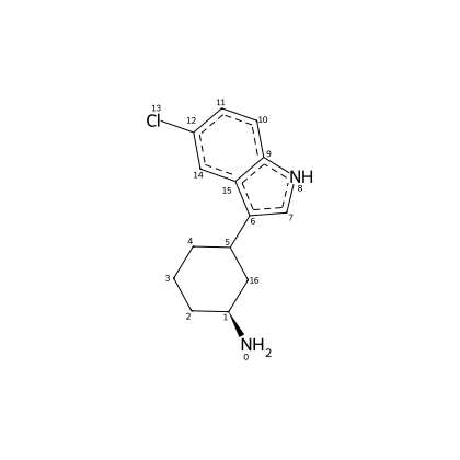 N[C@H]1CCCC(c2c[nH]c3ccc(Cl)cc23)C1